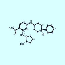 NC(=O)c1cnc(NC2CCC(O)(c3ccccc3)CC2)nc1N[C@H]1CCC[C@@H]1O